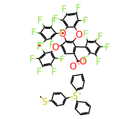 CSc1ccc([S+](c2ccccc2)c2ccccc2)cc1.O=C([O-])c1cc(Oc2c(F)c(F)c(F)c(F)c2F)c(Oc2c(F)c(F)c(F)c(F)c2F)c(Oc2c(F)c(F)c(F)c(F)c2F)c1-c1c(F)c(F)c(F)c(F)c1F